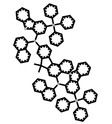 CC1(C)c2cc(N(c3cccc4ccccc34)c3cc([Si](c4ccccc4)(c4ccccc4)c4ccccc4)cc4c3oc3ccccc34)ccc2-c2c1cc(N(c1cccc3ccccc13)c1cc([Si](c3ccccc3)(c3ccccc3)c3ccccc3)cc3c1oc1ccccc13)c1ccccc21